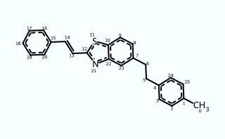 Cc1ccc(CCc2ccc3sc(C=Cc4ccccc4)nc3c2)cc1